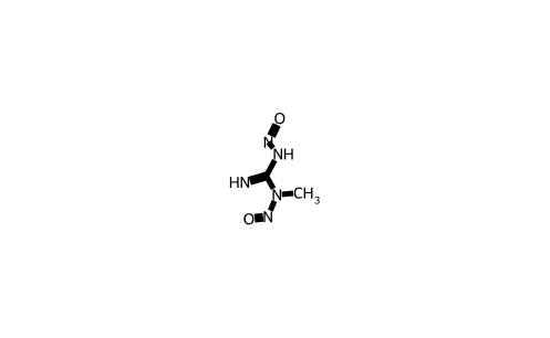 CN(N=O)C(=N)NN=O